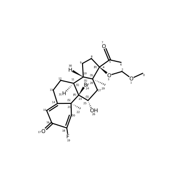 COCO[C@]1(C(C)=O)CC[C@H]2[C@@H]3CCC4=CC(=O)C(F)=C[C@]4(C)[C@@]3(Br)[C@@H](O)C[C@@]21C